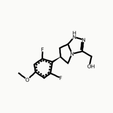 COc1cc(F)c([C@H]2CC3NN=C(CO)N3C2)c(F)c1